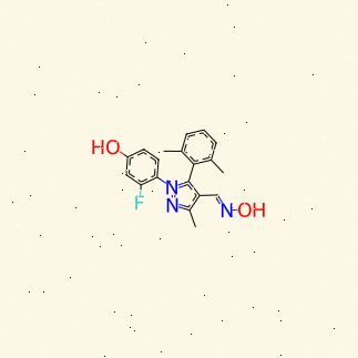 Cc1cccc(C)c1-c1c(C=NO)c(C)nn1-c1ccc(O)cc1F